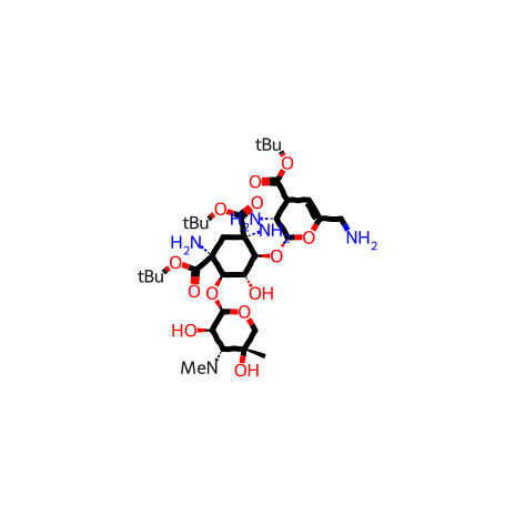 CN[C@@H]1[C@@H](O)[C@@H](O[C@@H]2[C@@H](O)[C@H](O[C@H]3OC(CN)=CC(C(=O)OC(C)(C)C)[C@H]3N)[C@](N)(C(=O)OC(C)(C)C)C[C@]2(N)C(=O)OC(C)(C)C)OC[C@]1(C)O